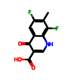 Cc1c(F)cc2c(=O)c(C(=O)O)c[nH]c2c1F